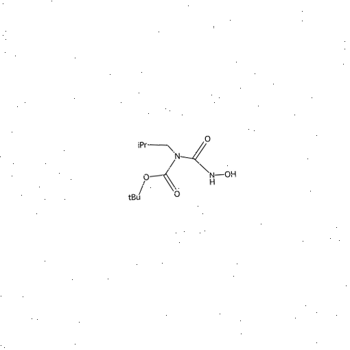 CC(C)CN(C(=O)NO)C(=O)OC(C)(C)C